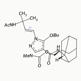 CNC(=O)OC[C@]12CC3CC(C1)[C@@H](NC(=O)c1cnn(/C=C/C(C)(C)NC(C)=O)c1OCC(C)C)C(C3)C2